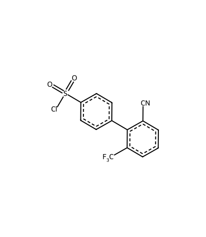 N#Cc1cccc(C(F)(F)F)c1-c1ccc(S(=O)(=O)Cl)cc1